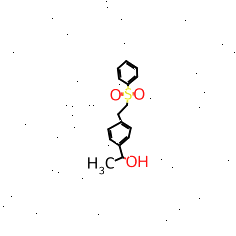 CC(O)c1ccc(CCS(=O)(=O)c2ccccc2)cc1